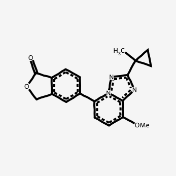 COc1ccc(-c2ccc3c(c2)COC3=O)n2nc(C3(C)CC3)nc12